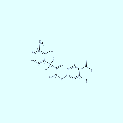 C=C(C)c1ccc(CN(C)C(=C)C(C)(C)c2cccc(N)c2C)cc1CC